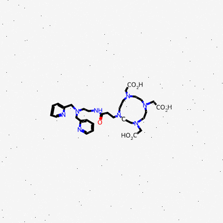 O=C(O)CN1CCN(CCC(=O)NCCN(Cc2ccccn2)Cc2ccccn2)CCN(CC(=O)O)CCN(CC(=O)O)CC1